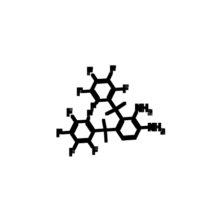 CC(C)(c1ccc(N)c(N)c1C(C)(C)c1c(F)c(F)c(F)c(F)c1F)c1c(F)c(F)c(F)c(F)c1F